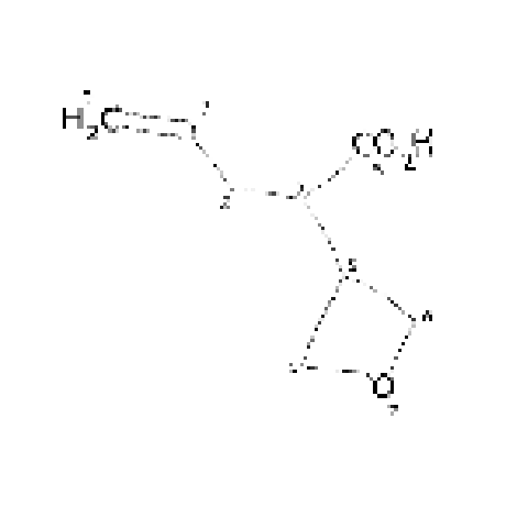 C=CCC(C(=O)O)C1COC1